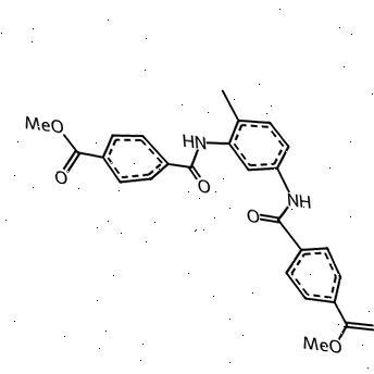 COC(=O)c1ccc(C(=O)Nc2ccc(C)c(NC(=O)c3ccc(C(=O)OC)cc3)c2)cc1